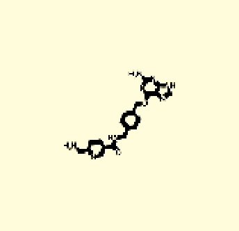 NCc1ccc(C(=O)NCc2ccc(COc3nc(N)nc4[nH]cnc34)cc2)cn1